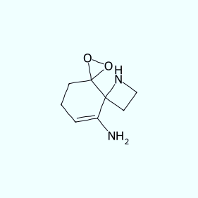 NC1=CCCC2(OO2)C12CCN2